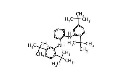 CC(C)(C)c1ccc(C(C)(C)C)c(Nc2ccccc2Nc2cc(C(C)(C)C)ccc2C(C)(C)C)c1